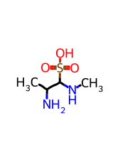 CNC(C(C)N)S(=O)(=O)O